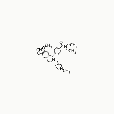 CCN(CC)C(=O)c1ccc(C2c3cc(OC)c(OC)cc3CCN2Cc2cn(C)cn2)cc1